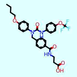 CCCCOc1ccc(N(Cc2ccc(C(=O)NCCC(=O)O)cc2)C(=O)Nc2ccc(OC(F)(F)F)cc2)cc1